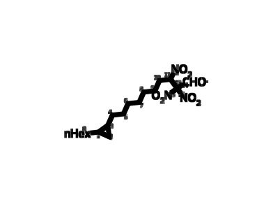 CCCCCCC1CC1CCCCCCCC([N+](=O)[O-])C([C]=O)([N+](=O)[O-])[N+](=O)[O-]